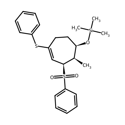 C[C@@H]1[C@H](O[Si](C)(C)C)CCC(Sc2ccccc2)=C[C@@H]1S(=O)(=O)c1ccccc1